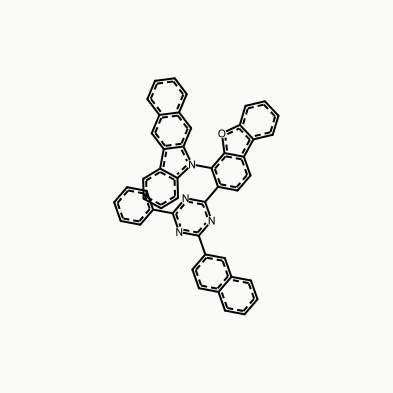 c1ccc(-c2nc(-c3ccc4ccccc4c3)nc(-c3ccc4c(oc5ccccc54)c3-n3c4ccccc4c4cc5ccccc5cc43)n2)cc1